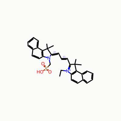 CC[N+]1=C(/C=C/C=C2\N(CS(=O)(=O)O)c3ccc4ccccc4c3C2(C)C)C(C)(C)c2c1ccc1ccccc21